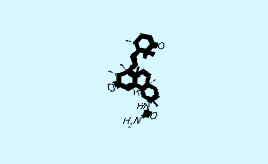 C[C@@H]1CCC(=O)C(C)(C)C1CC[C@]1(C)[C@@H](C)C(=O)C=C2[C@@H]3C[C@@](C)(NC(N)=O)CC[C@]3(C)CC[C@]21C